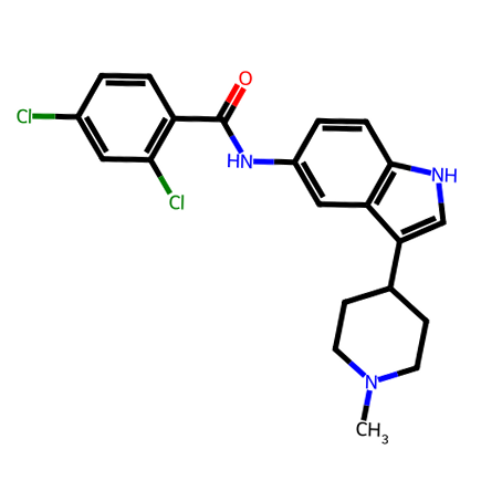 CN1CCC(c2c[nH]c3ccc(NC(=O)c4ccc(Cl)cc4Cl)cc23)CC1